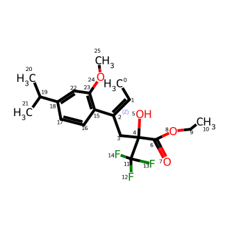 C/C=C(/CC(O)(C(=O)OCC)C(F)(F)F)c1ccc(C(C)C)cc1OC